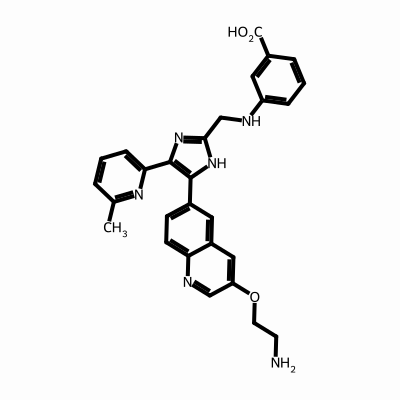 Cc1cccc(-c2nc(CNc3cccc(C(=O)O)c3)[nH]c2-c2ccc3ncc(OCCN)cc3c2)n1